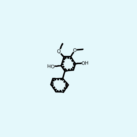 COc1c(O)cc(-c2ccccc2)c(O)c1OC